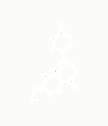 CN1CCN(C2=CCN(Cl)C3=CC/C(=C\C#N)CC34CSC=C24)CC1